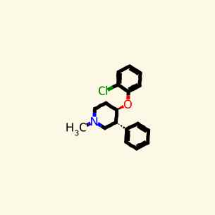 CN1CC[C@@H](Oc2ccccc2Cl)[C@H](c2ccccc2)C1